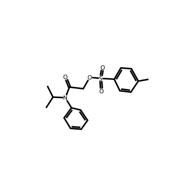 Cc1ccc(S(=O)(=O)OCC(=O)N(c2ccccc2)C(C)C)cc1